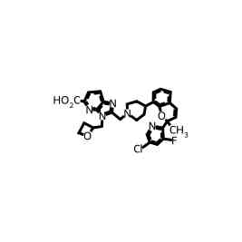 CC1(c2ncc(Cl)cc2F)C=Cc2cccc(C3CCN(Cc4nc5ccc(C(=O)O)nc5n4CC4CCO4)CC3)c2O1